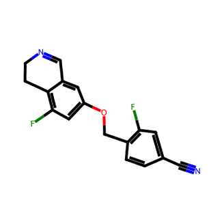 N#Cc1ccc(COc2cc(F)c3c(c2)C=NCC3)c(F)c1